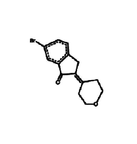 O=C1C(=C2CCOCC2)Cc2ccc(Br)cc21